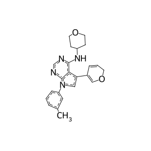 Cc1cccc(-n2cc(C3=COCC=C3)c3c(NC4CCOCC4)ncnc32)c1